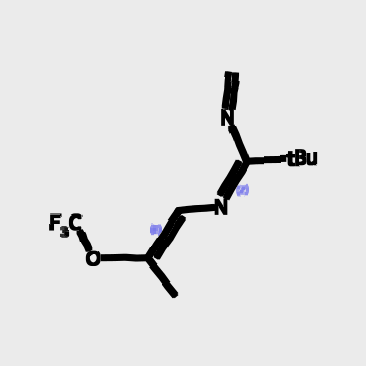 C=N/C(=N\C=C(/C)OC(F)(F)F)C(C)(C)C